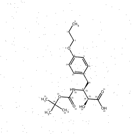 CCCOc1ccc(C[C@H](NC(=O)OC(C)(C)C)[C@H](O)C(=O)O)cc1